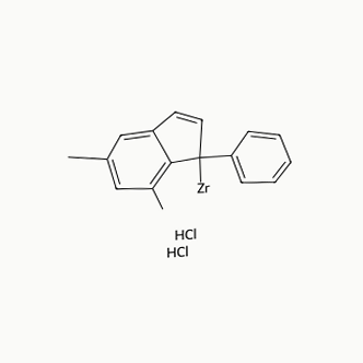 Cc1cc(C)c2c(c1)C=C[C]2([Zr])c1ccccc1.Cl.Cl